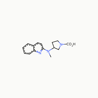 CN(c1ccc2ccccc2n1)C1CCN(C(=O)O)C1